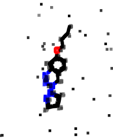 CCCCOc1ccc2c(c1)N=NN(n1cccn1)C2